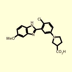 COc1ccc2[nH]c(-c3cc(N4CCC(C(=O)O)C4)ccc3Cl)nc2c1